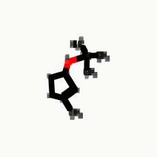 CC1=CC(O[Si](C)(C)C)CC1